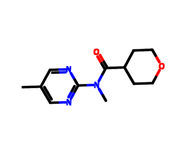 Cc1cnc(N(C)C(=O)C2CCOCC2)nc1